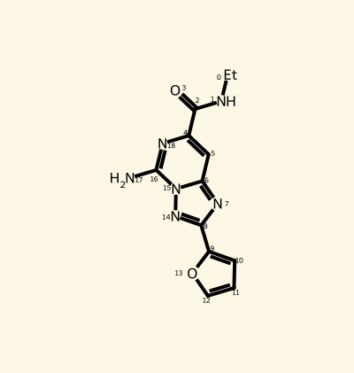 CCNC(=O)c1cc2nc(-c3ccco3)nn2c(N)n1